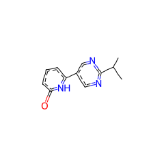 CC(C)c1ncc(-c2cccc(=O)[nH]2)cn1